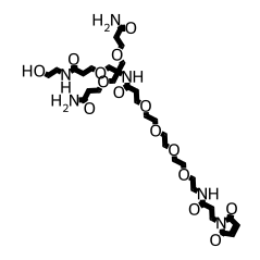 NC(=O)CCOCC(COCCC(N)=O)(COCCC(=O)NCCO)NC(=O)CCOCCOCCOCCOCCNC(=O)CCN1C(=O)C=CC1=O